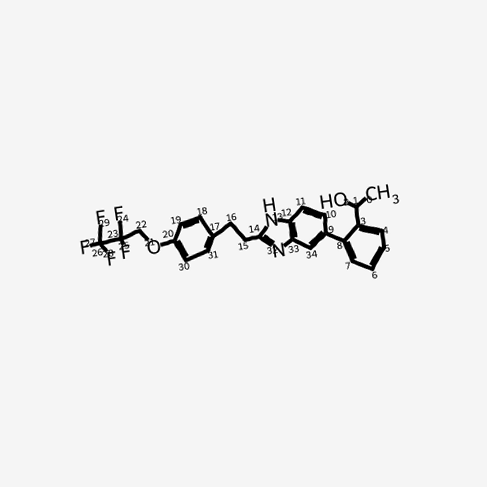 CC(O)c1ccccc1-c1ccc2[nH]c(CCc3ccc(OCC(F)(F)C(F)(F)F)cc3)nc2c1